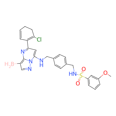 Bc1cnn2c(NCc3ccc(CNS(=O)(=O)c4cccc(OC)c4)cc3)cc(C3=C(Cl)CCC=C3)nc12